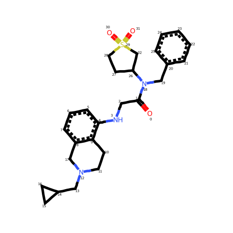 O=C(CNc1cccc2c1CCN(CC1CC1)C2)N(Cc1ccccc1)C1CCS(=O)(=O)C1